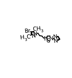 Cc1nn(CCCCN2CCN(c3ncccn3)CC2)c(C)c1Br